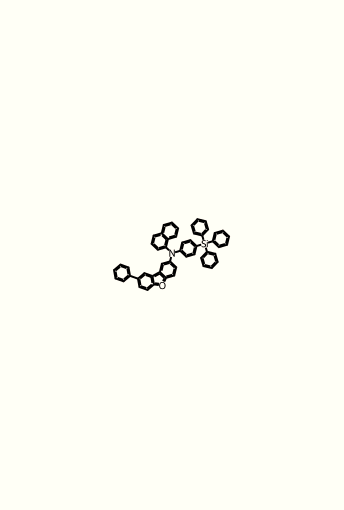 c1ccc(-c2ccc3oc4ccc(N(c5ccc([Si](c6ccccc6)(c6ccccc6)c6ccccc6)cc5)c5cccc6ccccc56)cc4c3c2)cc1